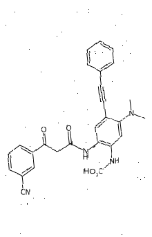 CN(C)c1cc(NC(=O)O)c(NC(=O)CC(=O)c2cccc(C#N)c2)cc1C#Cc1ccccc1